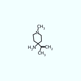 C=C(C)C1(N)CCN(C)CC1